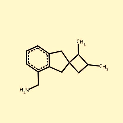 CC1CC2(Cc3cccc(CN)c3C2)C1C